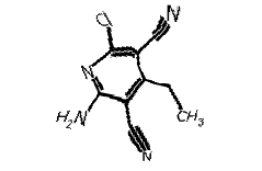 CCc1c(C#N)c(N)nc(Cl)c1C#N